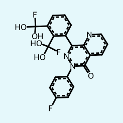 O=c1c2cccnc2c(-c2cccc(C(O)(O)F)c2C(O)(O)F)nn1-c1ccc(F)cc1